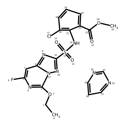 CCOc1nc(F)cc2nc(S(=O)(=O)Nc3c(Cl)cccc3C(=O)OC)nn12.c1cncnc1